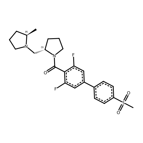 C[C@@H]1CCCN1C[C@@H]1CCCN1C(=O)c1c(F)cc(-c2ccc(S(C)(=O)=O)cc2)cc1F